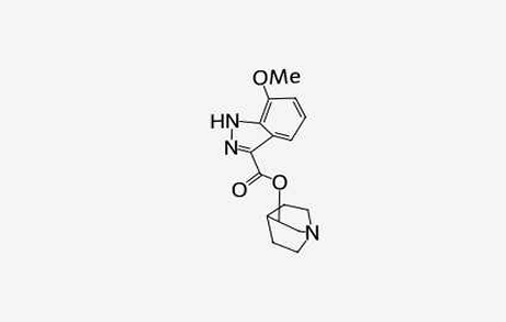 COc1cccc2c(C(=O)OC3CN4CCC3CC4)n[nH]c12